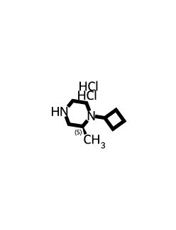 C[C@H]1CNCCN1C1CCC1.Cl.Cl